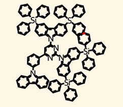 c1ccc([Si](c2ccccc2)(c2ccccc2)c2ccc3c(c2)c2cc(S(c4ccccc4)(c4ccccc4)c4ccccc4)ccc2n3-c2cc(-c3cccc(-n4c5ccccc5c5ccccc54)c3)nc(-n3c4ccc([Si](c5ccccc5)(c5ccccc5)c5ccccc5)cc4c4cc([Si](c5ccccc5)(c5ccccc5)c5ccccc5)ccc43)n2)cc1